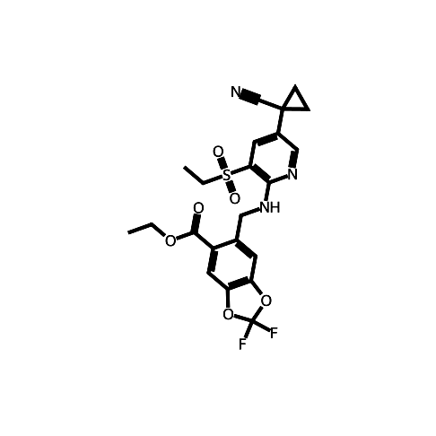 CCOC(=O)c1cc2c(cc1CNc1ncc(C3(C#N)CC3)cc1S(=O)(=O)CC)OC(F)(F)O2